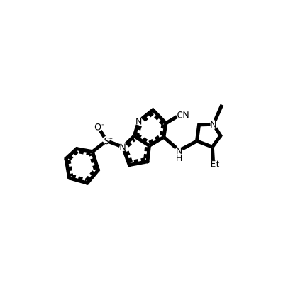 CCC1CN(C)CC1Nc1c(C#N)cnc2c1ccn2[S+]([O-])c1ccccc1